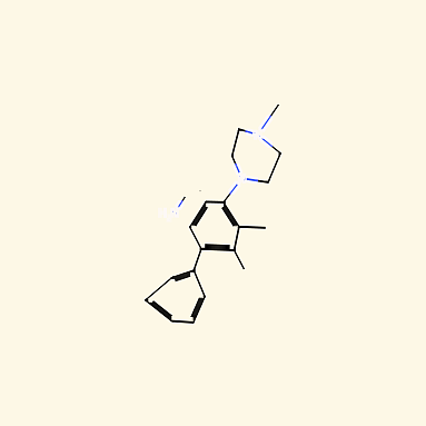 Cc1c(-c2ccccc2)ccc(N2CCN(C)CC2)c1C.NC=O